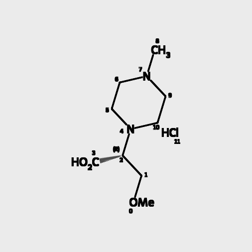 COC[C@H](C(=O)O)N1CCN(C)CC1.Cl